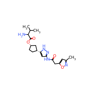 Cc1cc(CC(=O)Nc2cc([C@@H]3CC[C@H](OC(=O)C(N)C(C)C)C3)[nH]n2)on1